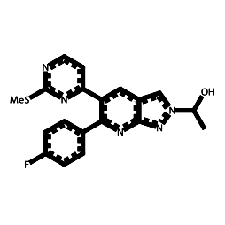 CSc1nccc(-c2cc3cn(C(C)O)nc3nc2-c2ccc(F)cc2)n1